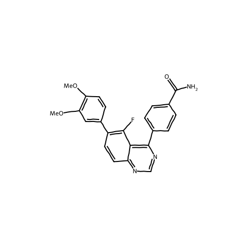 COc1ccc(-c2ccc3ncnc(-c4ccc(C(N)=O)cc4)c3c2F)cc1OC